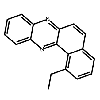 CCc1cccc2ccc3nc4ccccc4nc3c12